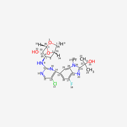 [2H][C@H]1O[C@@H]2O[C@H]1C[C@@H](Nc1ncc(Cl)c(-c3cc(F)c4nc(C(C)(C)O)n(C(C)C)c4c3)n1)[C@@H]2O